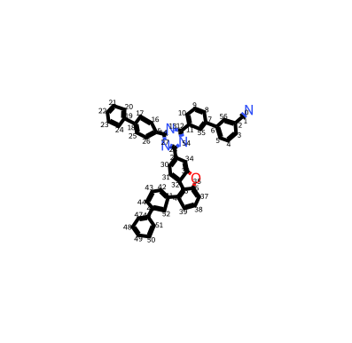 N#Cc1cccc(-c2cccc(-c3nc(-c4ccc(-c5ccccc5)cc4)nc(-c4ccc5c(c4)oc4cccc(-c6cccc(-c7ccccc7)c6)c45)n3)c2)c1